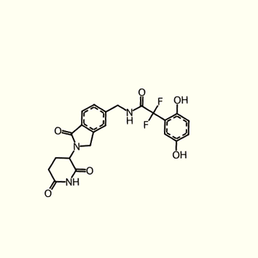 O=C1CCC(N2Cc3cc(CNC(=O)C(F)(F)c4cc(O)ccc4O)ccc3C2=O)C(=O)N1